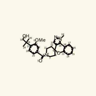 COc1cc(C(=O)N2CCC3(CC2)Oc2ccccc2-c2c3cnn2C)ccc1C(C)(C)CO